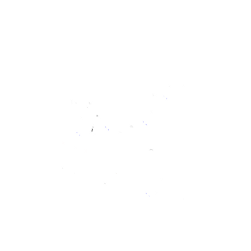 Cc1ccc(-c2cc(O[C@@H]3C[C@H]4C(=O)N[C@]5(C(=O)NS(=O)(=O)C6CC6)C[C@H]5/C=C\CCCCC[C@H](NC(=O)C(F)(F)F)C(=O)N4C3)c3oc4ccccc4c3n2)s1